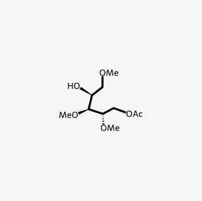 COC[C@H](O)[C@H](OC)[C@H](COC(C)=O)OC